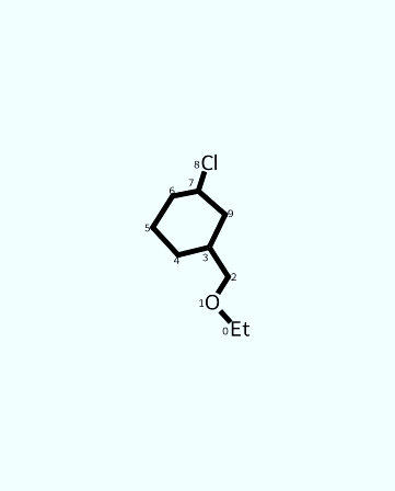 CCOCC1CCCC(Cl)C1